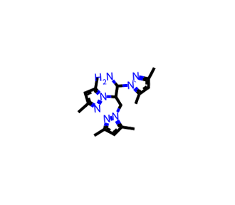 Cc1cc(C)n(CC(C(N)n2nc(C)cc2C)n2nc(C)cc2C)n1